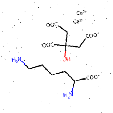 NCCCC[C@H](N)C(=O)[O-].O=C([O-])CC(O)(CC(=O)[O-])C(=O)[O-].[Ca+2].[Ca+2]